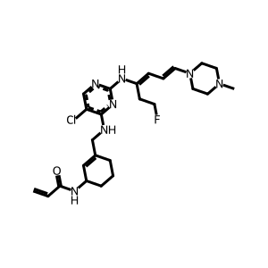 C=CC(=O)NC1C=C(CNc2nc(N/C(=C/C=C/N3CCN(C)CC3)CCF)ncc2Cl)CCC1